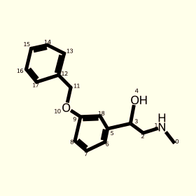 CNCC(O)c1cccc(OCc2ccccc2)c1